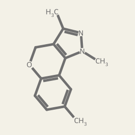 Cc1ccc2c(c1)-c1c(c(C)nn1C)CO2